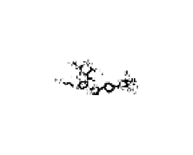 CCCC[C@H]1C[C@@H](c2nc(-c3ccc(B4OC(C)(C)C(C)(C)O4)cc3)c[nH]2)N(C(=O)[C@@H](NC(=O)OC)C(C)C)[C@H]1C